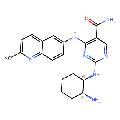 N#Cc1ccc2cc(Nc3nc(N[C@@H]4CCCC[C@@H]4N)ncc3C(N)=O)ccc2n1